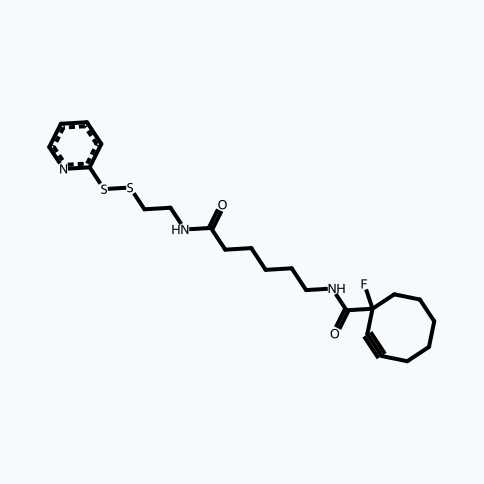 O=C(CCCCCNC(=O)C1(F)C#CCCCCC1)NCCSSc1ccccn1